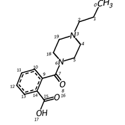 CCCN1CCN(C(=O)c2ccccc2C(=O)O)CC1